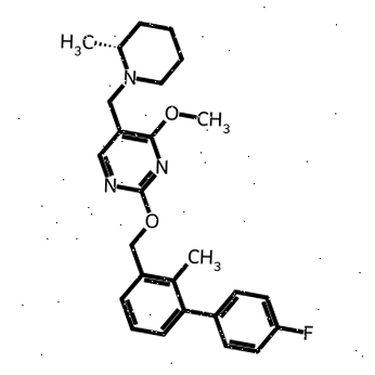 COc1nc(OCc2cccc(-c3ccc(F)cc3)c2C)ncc1CN1CCCC[C@H]1C